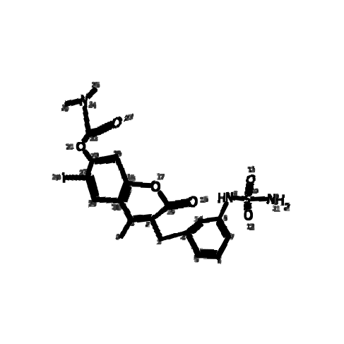 Cc1c(Cc2cccc(NS(N)(=O)=O)c2)c(=O)oc2cc(OC(=O)N(C)C)c(I)cc12